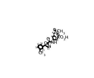 CS(=O)(=O)C[C@@H]1C[C@@H](NC(=O)c2ncc(-c3cccc(C(F)(F)F)c3)o2)CN1C(=O)O